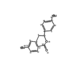 CC(C)(C)c1ccc(C2Cc3cc(C(C)(C)C)ccc3C(=O)O2)cc1